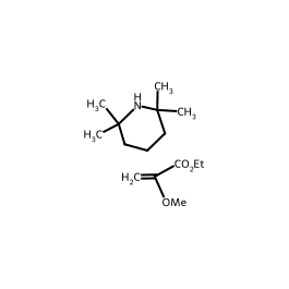 C=C(OC)C(=O)OCC.CC1(C)CCCC(C)(C)N1